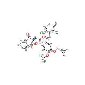 C=C/C(Cl)=C(C[C@H](OC(=O)CN1C(=O)c2ccccc2S1(=O)=O)c1ccc(OC(F)F)c(OCC2CC2)c1)\C(Cl)=C/C